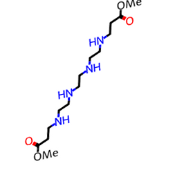 COC(=O)CCNCCNCCNCCNCCC(=O)OC